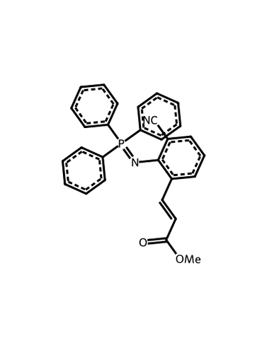 COC(=O)/C=C/c1cccc(C#N)c1N=P(c1ccccc1)(c1ccccc1)c1ccccc1